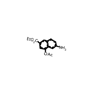 CCOC(=O)c1cc(OC(C)=O)c2cc(N)ccc2c1